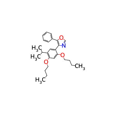 CCCCOc1cc(OCCCC)c(C(C)C)cc1-c1ncoc1-c1ccccc1